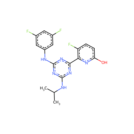 CC(C)Nc1nc(Nc2cc(F)cc(F)c2)nc(-c2nc(O)ccc2F)n1